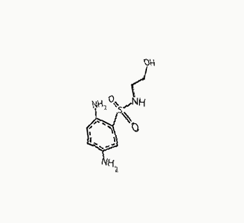 Nc1ccc(N)c(S(=O)(=O)NCCO)c1